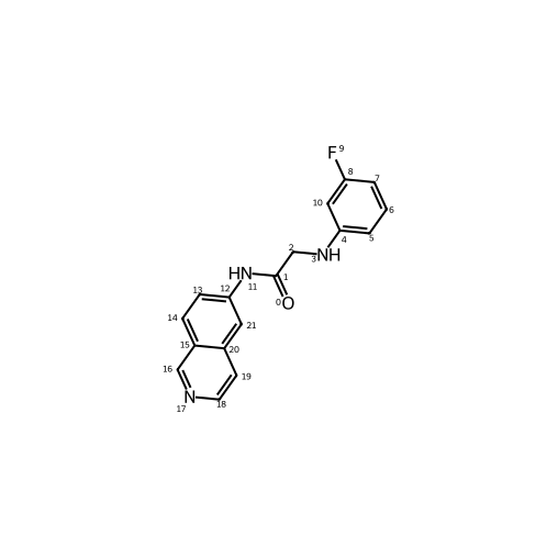 O=C(CNc1cccc(F)c1)Nc1ccc2cnccc2c1